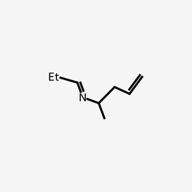 C=CCC(C)/N=C/CC